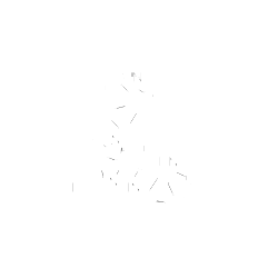 CC[C@@H]1c2c(cc(C)nc2C(=O)Nc2ccc(F)c(C(N)=O)c2)C(=O)N1c1ccc(-c2c(C)on(C)c2=O)cc1